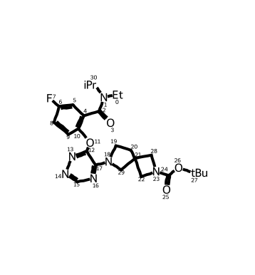 CCN(C(=O)c1cc(F)ccc1Oc1nncnc1N1CCC2(CN(C(=O)OC(C)(C)C)C2)C1)C(C)C